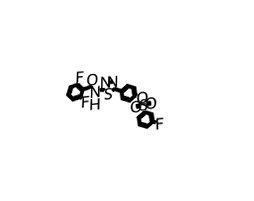 O=C(Nc1nnc(-c2ccc(OS(=O)(=O)c3cccc(F)c3)cc2)s1)c1c(F)cccc1F